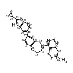 C[C@H]1CCc2c(ncnc2N2CCOc3ccc(-c4cnc5nc(C6CC6)[nH]c5c4)cc3C2)C1